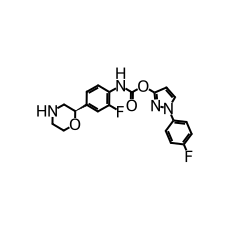 O=C(Nc1ccc([C@@H]2CNCCO2)cc1F)Oc1ccn(-c2ccc(F)cc2)n1